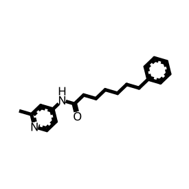 Cc1cc(NC(=O)CCCCCCc2ccccc2)ccn1